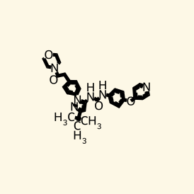 CC(C)(C)c1cc(NC(=O)Nc2ccc(Oc3ccncc3)cc2)n(-c2ccc(CC(=O)N3CCOCC3)cc2)n1